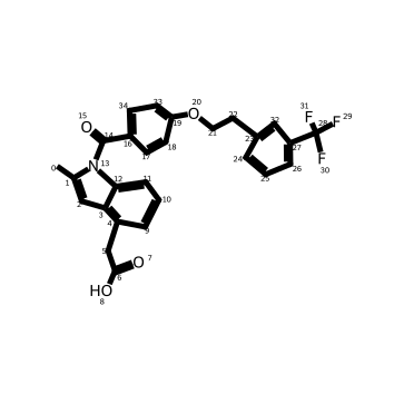 Cc1cc2c(CC(=O)O)cccc2n1C(=O)c1ccc(OCCc2cccc(C(F)(F)F)c2)cc1